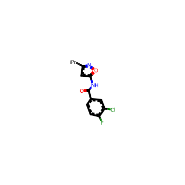 CC(C)c1cc(NC(=O)c2ccc(F)c(Cl)c2)on1